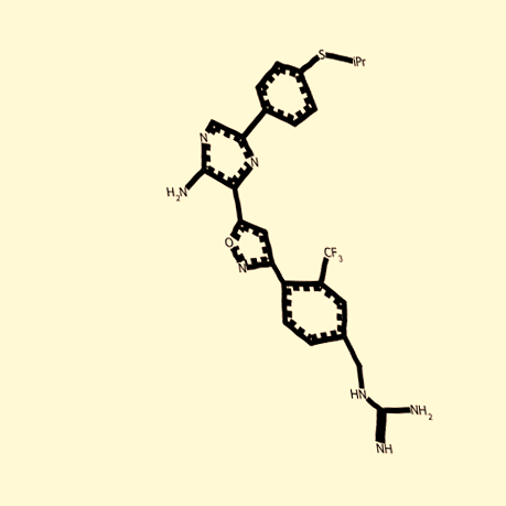 CC(C)Sc1ccc(-c2cnc(N)c(-c3cc(-c4ccc(CNC(=N)N)cc4C(F)(F)F)no3)n2)cc1